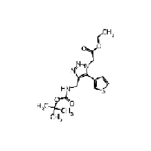 CCOC(=O)Cn1nnc(CNC(=O)OC(C)(C)C)c1-c1ccsc1